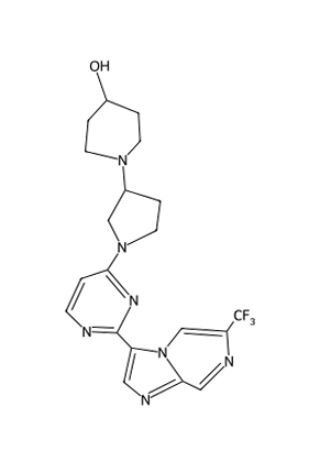 OC1CCN(C2CCN(c3ccnc(-c4cnc5cnc(C(F)(F)F)cn45)n3)C2)CC1